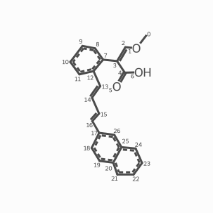 COC=C(C(=O)O)c1ccccc1C=CC=Cc1ccc2ccccc2c1